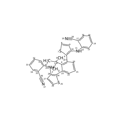 CS(C)(C)c1c(-c2sccc2Nc2ccccc2C#N)cccc1-c1sccc1Nc1ccccc1C#N